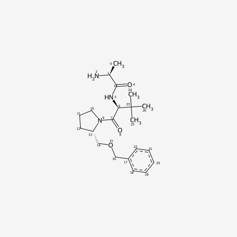 C[C@H](N)C(=O)N[C@H](C(=O)N1CCC[C@H]1COCc1ccccc1)C(C)(C)C